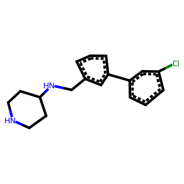 Clc1cccc(-c2cccc(CNC3CCNCC3)c2)c1